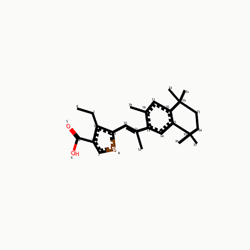 CCc1c(C(=O)O)csc1C=C(C)c1cc2c(cc1C)C(C)(C)CCC2(C)C